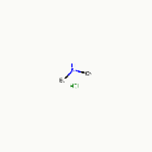 CCNC#N.Cl